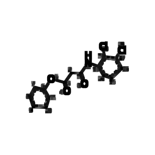 O=C(CC(=O)Oc1ccccc1)Nc1cccc(Cl)c1Cl